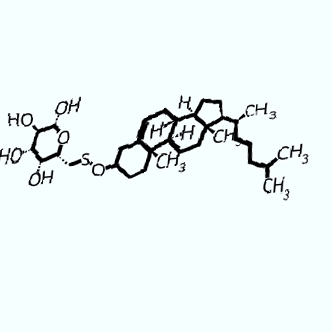 CC(C)CCC[C@H](C)[C@@H]1CC[C@@H]2[C@H]3CC=C4CC(OSC[C@H]5O[C@@H](O)[C@H](O)[C@@H](O)[C@H]5O)CC[C@@]4(C)[C@@H]3CC[C@]21C